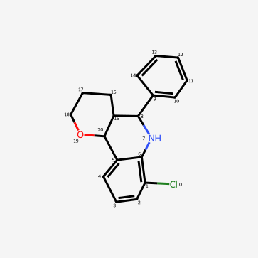 Clc1cccc2c1NC(c1ccccc1)C1CCCOC21